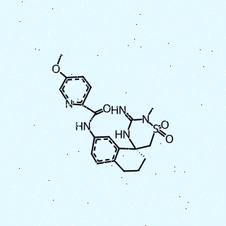 COc1ccc(C(=O)Nc2ccc3c(c2)[C@]2(CCC3)CS(=O)(=O)N(C)C(=N)N2)nc1